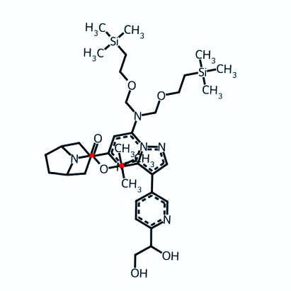 CC(C)(C)OC(=O)N1C2CCC1CC(c1cc(N(COCC[Si](C)(C)C)COCC[Si](C)(C)C)n3ncc(-c4ccc(C(O)CO)nc4)c3n1)C2